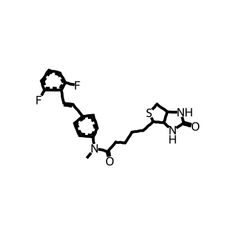 CN(C(=O)CCCCC1SCC2NC(=O)NC21)c1ccc(/C=C/c2c(F)cccc2F)cc1